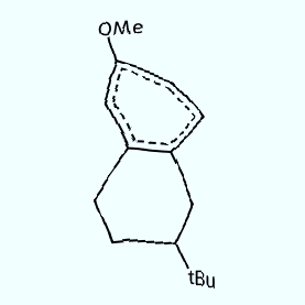 COc1ccc2c(c1)CCC(C(C)(C)C)C2